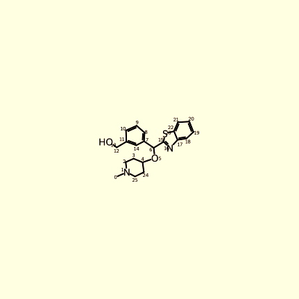 CN1CCC(OC(c2cccc(CO)c2)c2nc3ccccc3s2)CC1